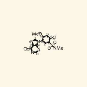 CNS(=O)(=O)c1cc(-n2cnc3c(Cl)ncnc32)c(OC)cc1Cl